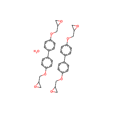 O.c1cc(-c2ccc(OCC3CO3)cc2)ccc1OCC1CO1.c1cc(-c2ccc(OCC3CO3)cc2)ccc1OCC1CO1